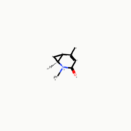 CC1=CC(=O)N(C(C)C)[C@H]2CC12